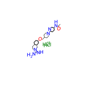 CC(=O)Nc1ccc(N2CCC(COc3ccc4c(c3)CN(C(=N)N)CC4)CC2)nc1.Cl.Cl